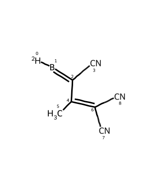 [2H]B=C(C#N)C(C)=C(C#N)C#N